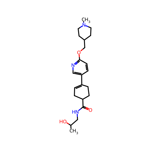 CC(O)CNC(=O)C1CC=C(c2ccc(OCC3CCN(C)CC3)nc2)CC1